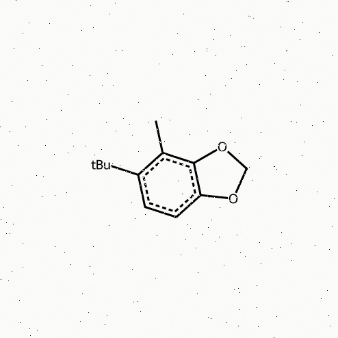 Cc1c(C(C)(C)C)ccc2c1OCO2